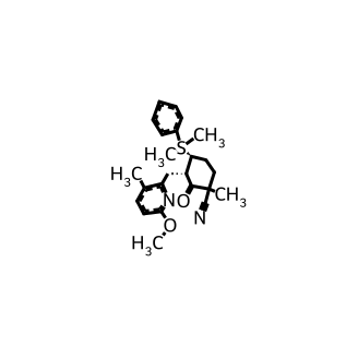 COc1ccc(C)c(C[C@H]2C(=O)C(C)(C#N)CC[C@H]2S(C)(C)c2ccccc2)n1